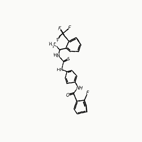 CC(NC(=S)Nc1ccc(NC(=O)c2ccccc2F)cc1)c1ccccc1C(F)(F)F